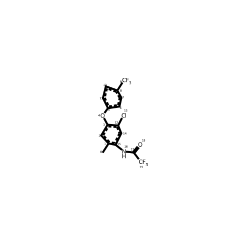 Cc1cc(Oc2ccc(C(F)(F)F)cc2)c(Cl)cc1NC(=O)C(F)(F)F